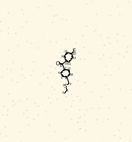 CCSCc1ccc(C(=O)c2ccc(F)cc2)cc1